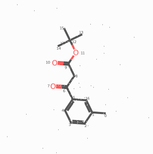 Cc1cccc(C(=O)CC(=O)OC(C)(C)C)c1